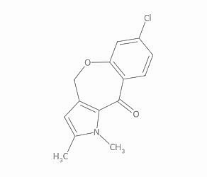 Cc1cc2c(n1C)C(=O)c1ccc(Cl)cc1OC2